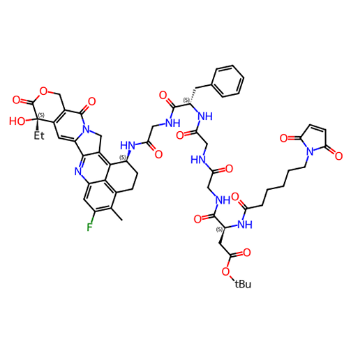 CC[C@@]1(O)C(=O)OCc2c1cc1n(c2=O)Cc2c-1nc1cc(F)c(C)c3c1c2[C@@H](NC(=O)CNC(=O)[C@H](Cc1ccccc1)NC(=O)CNC(=O)CNC(=O)[C@H](CC(=O)OC(C)(C)C)NC(=O)CCCCCN1C(=O)C=CC1=O)CC3